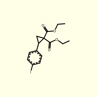 CCOC(=O)C1(C(=O)OCC)CC1c1ccc(I)cc1